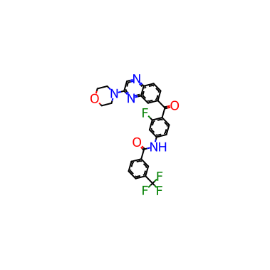 O=C(Nc1ccc(C(=O)c2ccc3ncc(N4CCOCC4)nc3c2)c(F)c1)c1cccc(C(F)(F)F)c1